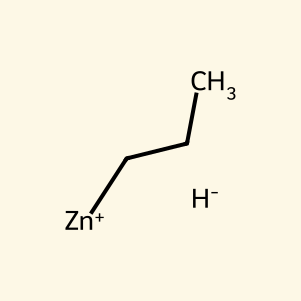 CC[CH2][Zn+].[H-]